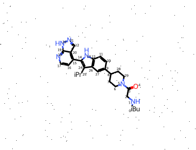 CCC(C)NCC(=O)N1CCC(c2ccc3[nH]c(-c4ccnc5[nH]ncc45)c(C(C)C)c3c2)CC1